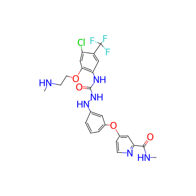 CNCCOc1cc(Cl)c(C(F)(F)F)cc1NC(=O)NNc1cccc(Oc2ccnc(C(=O)NC)c2)c1